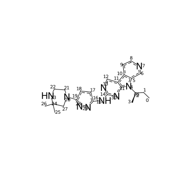 CC[C@@H](C)n1c2cnccc2c2cnc(Nc3ccc(N4CCNC(C)(C)C4)nn3)nc21